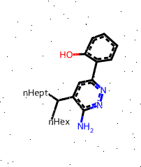 CCCCCCCC(CCCCCC)c1cc(-c2ccccc2O)nnc1N